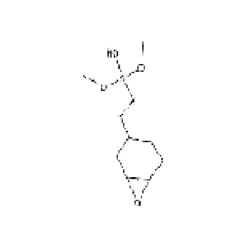 CO[Si](O)(CCC1CCC2OC2C1)OC